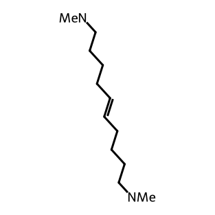 CNCCCC/C=C/CCCCNC